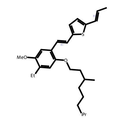 C/C=C/c1ccc(/C=C/c2cc(OC)c(CC)cc2OCCC(C)CCCC(C)C)s1